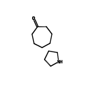 C1CCNC1.O=C1CCCCCC1